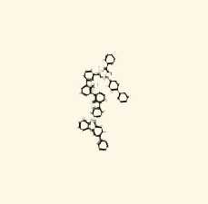 c1ccc(-c2ccc(-c3nc(-c4ccccc4)nc(-c4cccc5c4oc4c(-c6cccc7c6oc6cc(-n8c9ccccc9c9cc(-c%10ccccc%10)ccc98)ccc67)cccc45)n3)cc2)cc1